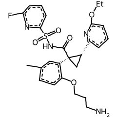 CCOc1cccc([C@@H]2C[C@]2(C(=O)NS(=O)(=O)c2cccc(F)n2)c2cc(C)ccc2OCCCN)n1